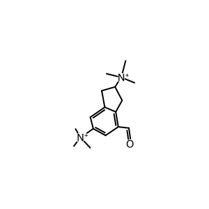 C[N+](C)(C)c1cc(C=O)c2c(c1)CC([N+](C)(C)C)C2